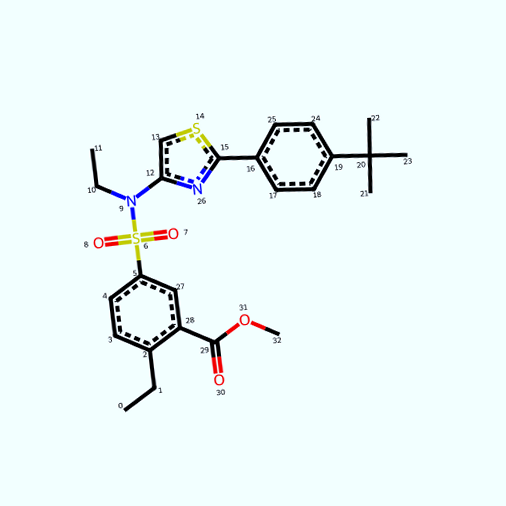 CCc1ccc(S(=O)(=O)N(CC)c2csc(-c3ccc(C(C)(C)C)cc3)n2)cc1C(=O)OC